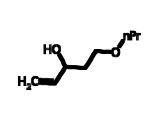 C=CC(O)CCOCCC